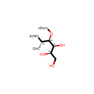 CCCCCO[C@@H]([C@@H](O)[C@H](O)CO)[C@H](C=O)NC(C)=O